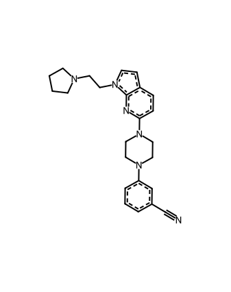 N#Cc1cccc(N2CCN(c3ccc4ccn(CCN5CCCC5)c4n3)CC2)c1